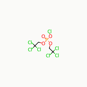 O=P(OCl)(OCC(Cl)(Cl)Cl)OCC(Cl)(Cl)Cl